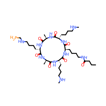 CCCC(=O)NCCCC[C@H]1NC(=O)[C@H](CCCCNC)NC(=O)[C@@H](C)NC(=O)[C@H](CCCCNCP)NC(=O)[C@@H](C)NC(=O)[C@H](CCCCNC)NC1=O